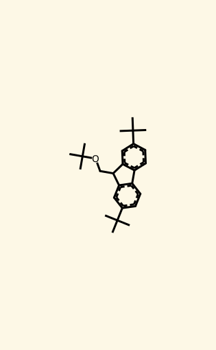 CC(C)(C)OCC1c2cc(C(C)(C)C)ccc2-c2ccc(C(C)(C)C)cc21